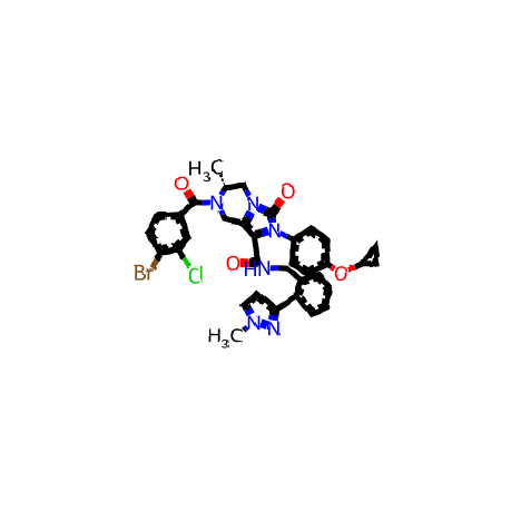 C[C@@H]1Cn2c(c(C(=O)NCc3ccccc3-c3ccn(C)n3)n(-c3ccc(OC4CC4)cc3)c2=O)CN1C(=O)c1ccc(Br)c(Cl)c1